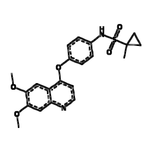 COc1cc2nccc(Oc3ccc(NS(=O)(=O)C4(C)CC4)cc3)c2cc1OC